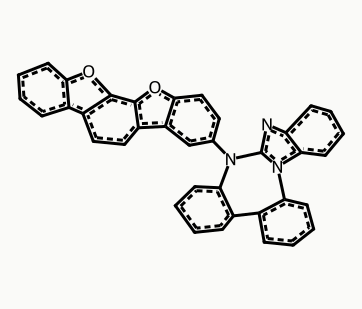 c1ccc2c(c1)-c1ccccc1-n1c(nc3ccccc31)N2c1ccc2oc3c(ccc4c5ccccc5oc43)c2c1